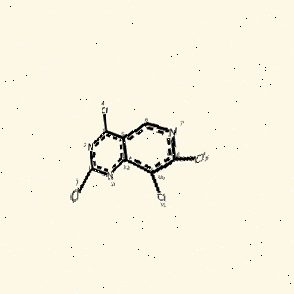 Clc1nc(Cl)c2cnc(Cl)c(Cl)c2n1